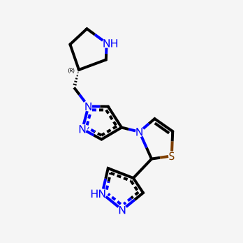 C1=CN(c2cnn(C[C@@H]3CCNC3)c2)C(c2cn[nH]c2)S1